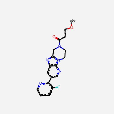 CCCOCCC(=O)N1CCn2c(nc3cc(-c4ncccc4F)cnc32)C1